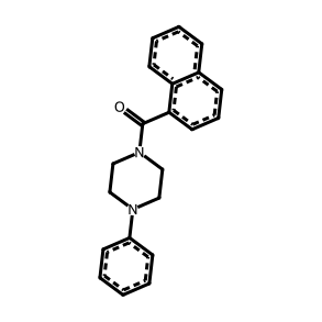 O=C(c1cccc2ccccc12)N1CCN(c2ccccc2)CC1